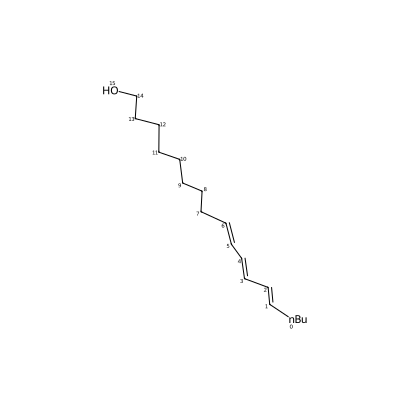 CCCC/C=C/C=C/C=C/CCCCCCCCO